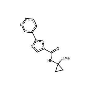 COC1(NC(=O)c2cnc(-c3cccnc3)s2)CC1